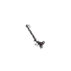 COCCOCCOCCOCCOCCOCCOCCOC(=O)/C=C/c1ccc(-c2nc3c(c(=O)n(CC4CCCCC4)c(=O)n3CC3CCCCC3)n2C)cc1